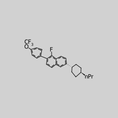 CCC[C@H]1CC[C@H](c2ccc3c(F)c(-c4ccc(OC(F)(F)F)cc4)ccc3c2)CC1